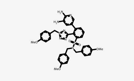 COc1ccc(CN(Cc2ccc(OC)cc2)S(=O)(=O)c2cccc(-c3cnc(N)c(N)c3)c2-c2nnn(Cc3ccc(OC)cc3)n2)cc1